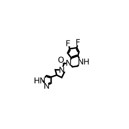 O=C(N1CCC(c2cn[nH]c2)C1)N1CCNc2cc(F)c(F)cc21